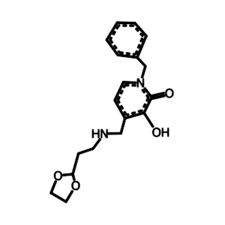 O=c1c(O)c(CNCCC2OCCO2)ccn1Cc1ccccc1